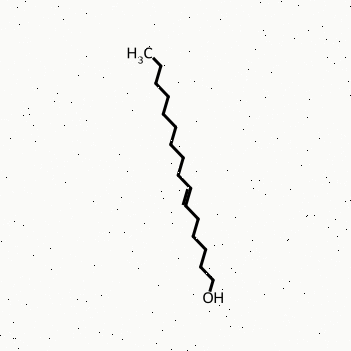 CCCCCCCCCC=CCCCCCO